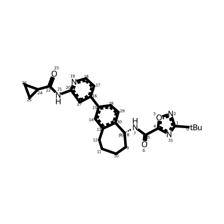 CC(C)(C)c1noc(C(=O)N[C@@H]2CCCCc3cc(-c4ccnc(NC(=O)C5CC5)c4)ccc32)n1